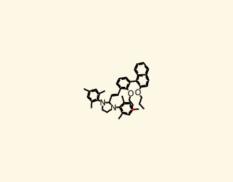 CCCOc1ccc2ccccc2c1-c1cccc(/C=C/C2N(c3c(C)cc(C)cc3C)CCN2c2c(C)cc(C)cc2C)c1OCCC